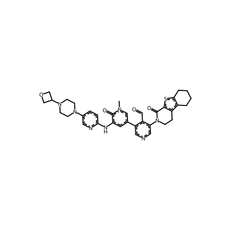 Cn1cc(-c2cncc(N3CCc4c(sc5c4CCCC5)C3=O)c2C=O)cc(Nc2ccc(N3CCN(C4COC4)CC3)cn2)c1=O